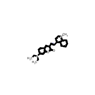 CCN(CC)c1ccc2cc(/C=C/c3cc[n+](C)c4ccccc34)c(=O)oc2c1